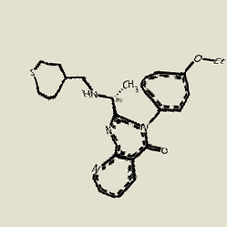 CCOc1ccc(-n2c([C@@H](C)NCC3CCSCC3)nc3ncccc3c2=O)cc1